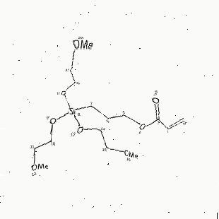 C=CC(=O)OCCC[Si](OCCOC)(OCCOC)OCCOC